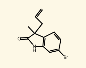 C=CCC1(C)C(=O)Nc2cc(Br)ccc21